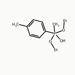 CCOP(C)(O)(OCC)c1ccc(C)cc1